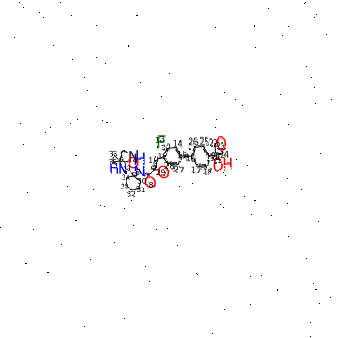 N#CC1(NC(=O)C2(NC(=O)c3cc4c(F)cc(-c5ccc(C6(O)COC6)cc5)cc4o3)CCCCC2)CC1